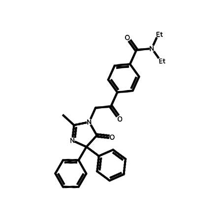 CCN(CC)C(=O)c1ccc(C(=O)CN2C(=O)C(c3ccccc3)(c3ccccc3)N=C2C)cc1